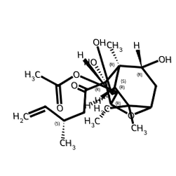 C=C[C@@H](C)CC(=O)[C@@]1(O)[C@@]2(C)[C@H](O)CC3O[C@]1(C)[C@H](OC(C)=O)[C@H](O)[C@H]2C3(C)C